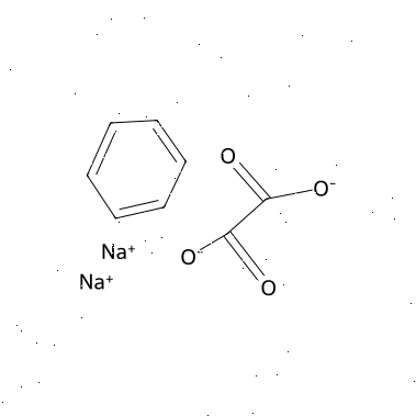 O=C([O-])C(=O)[O-].[Na+].[Na+].c1ccccc1